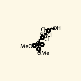 COc1ccc(C(OCCc2cc(Cl)c(N=Nc3c(Cl)cc(CCO)cc3Cl)c(Cl)c2)(c2ccccc2)c2ccc(OC)cc2)cc1